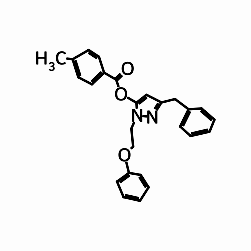 Cc1ccc(C(=O)Oc2cc(Cc3ccccc3)nn2CCOc2ccccc2)cc1